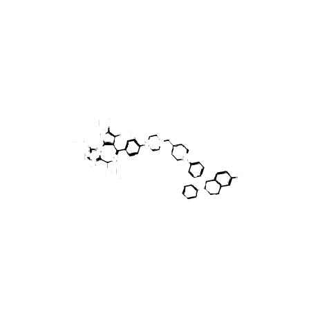 Cc1sc2c(c1C)C(c1ccc(N3CCN(CC4CCN(c5ccc([C@@H]6c7ccc(O)cc7CC[C@@H]6c6ccccc6)cc5)CC4)CC3)cc1)=N[C@@H](C)c1nnc(C)n1-2